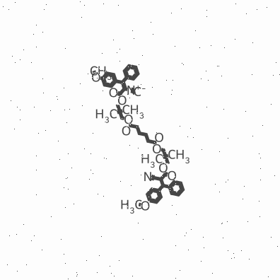 [C-]#[N+]C(C(=O)OCC(C)(C)COC(=O)CCCCC(=O)OCC(C)(C)COC(=O)C(C#N)C(c1ccccc1)c1ccc(OC)cc1)=C(c1ccccc1)c1ccc(OC)cc1